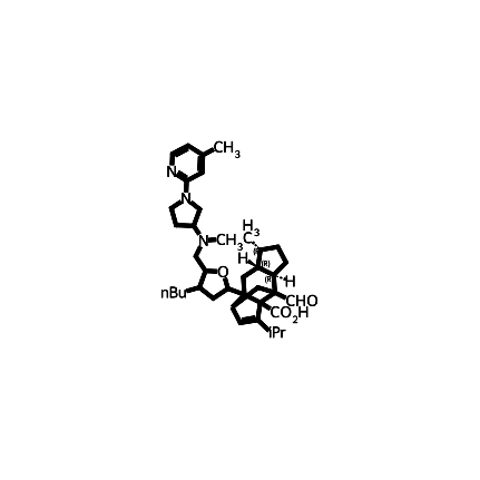 CCCCC1CC(C23C[C@@H]4[C@H](C)CC[C@H]4C4(C=O)CC2C=C(C(C)C)C34C(=O)O)OC1CN(C)C1CCN(c2cc(C)ccn2)C1